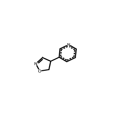 [C]1=NOCC1c1cccnc1